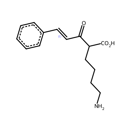 NCCCCC(C(=O)O)C(=O)/C=C/c1ccccc1